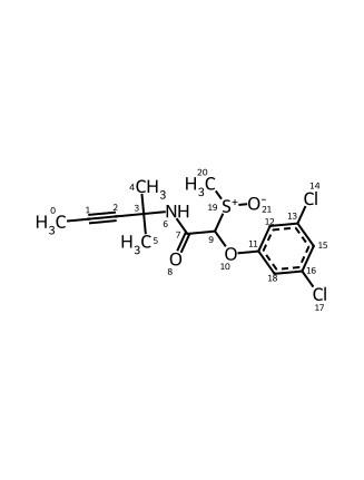 CC#CC(C)(C)NC(=O)C(Oc1cc(Cl)cc(Cl)c1)[S+](C)[O-]